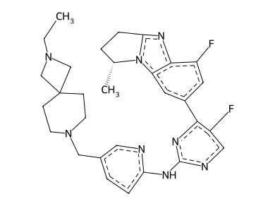 CCN1CC2(CCN(Cc3ccc(Nc4ncc(F)c(-c5cc(F)c6nc7n(c6c5)[C@H](C)CC7)n4)nc3)CC2)C1